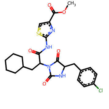 COC(=O)c1csc(NC(=O)C(CC2CCCCC2)N2C(=O)NC(Cc3ccc(Cl)cc3)C2=O)n1